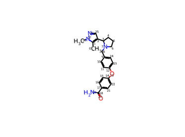 Cc1c(C2CCCN2Cc2ccc(Oc3ccc(C(N)=O)cc3)cc2)cnn1C